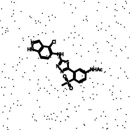 CC(=O)Nc1ccc(S(C)(=O)=O)c(-c2nnc(Nc3ccc4[nH]ncc4c3Cl)s2)c1